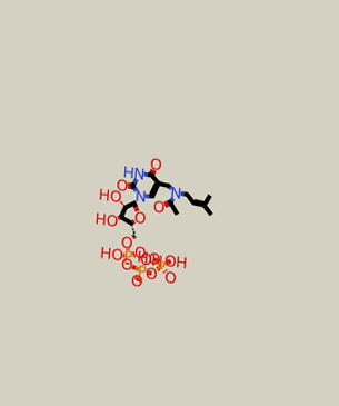 CC(=O)N(CC=C(C)C)Cc1cn([C@@H]2O[C@H](COP(=O)(O)OP(=O)(O)OP(=O)(O)O)C(O)[C@@H]2O)c(=O)[nH]c1=O